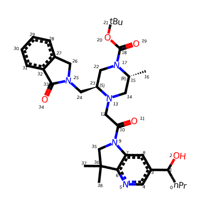 CCCC(O)c1cnc2c(c1)N(C(=O)CN1C[C@@H](C)N(C(=O)OC(C)(C)C)C[C@@H]1CN1Cc3ccccc3C1=O)CC2(C)C